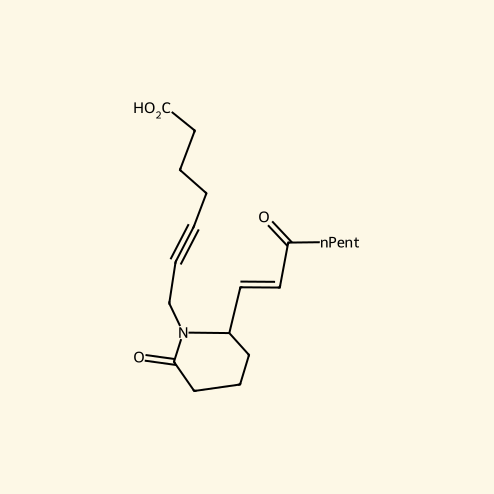 CCCCCC(=O)C=CC1CCCC(=O)N1CC#CCCCC(=O)O